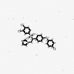 O=S(=O)(c1ccc(Cl)c(Cl)c1)C(Cn1ccnc1)c1ccc(Sc2ccc(Cl)cc2)cc1